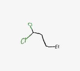 CCCCC(Cl)Cl